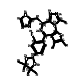 Cc1sc2c(c1C)C(c1ccc(B3OC(C)(C)C(C)(C)O3)cc1F)=N[C@@H](Cc1ncco1)c1nnc(C)n1-2